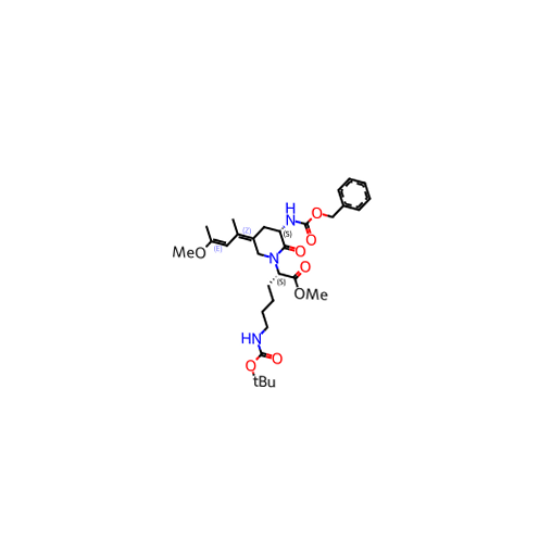 COC(=O)[C@H](CCCCNC(=O)OC(C)(C)C)N1C/C(=C(C)\C=C(/C)OC)C[C@H](NC(=O)OCc2ccccc2)C1=O